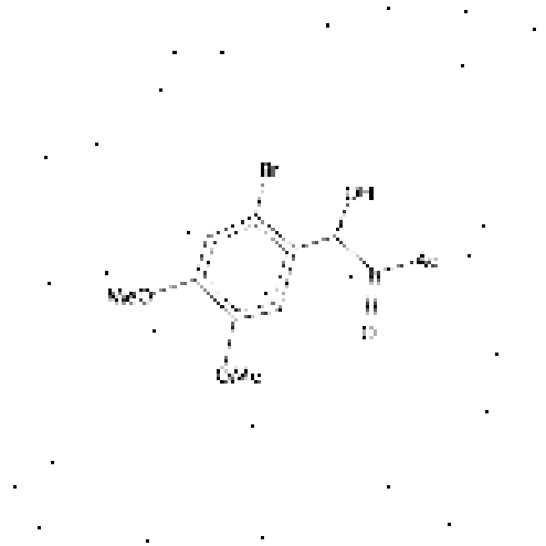 COc1cc(Br)c(C(O)C(=O)C(C)=O)cc1OC